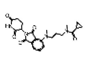 O=C1CCC(N2C(=O)c3cccc(NCCCNC(=O)C4CC4)c3C2=O)C(=O)N1